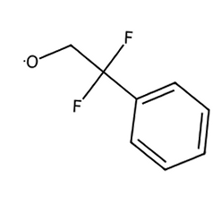 [O]CC(F)(F)c1ccccc1